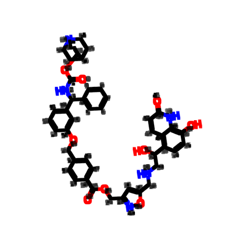 O=C(N[C@@H](c1ccccc1)c1cccc(OCc2ccc(C(=O)OCc3cc(CNCC(O)c4ccc(O)c5[nH]c(=O)ccc45)on3)cc2)c1)OC1CN2CCC1CC2